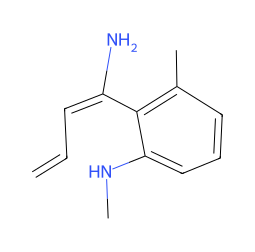 C=C/C=C(/N)c1c(C)cccc1NC